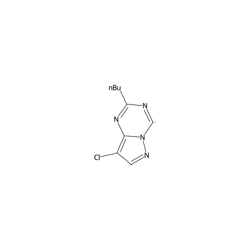 CCCCc1n[c]n2ncc(Cl)c2n1